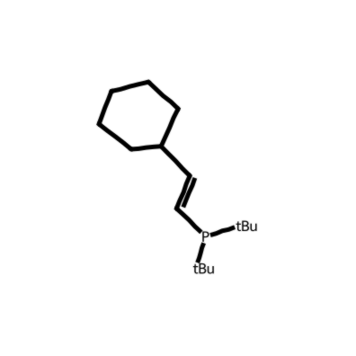 CC(C)(C)P(C=CC1CCCCC1)C(C)(C)C